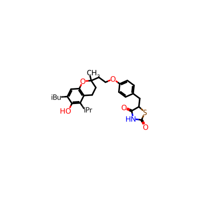 CCC(C)c1cc2c(c(C(C)C)c1O)CCC(C)(CCOc1ccc(CC3SC(=O)NC3=O)cc1)O2